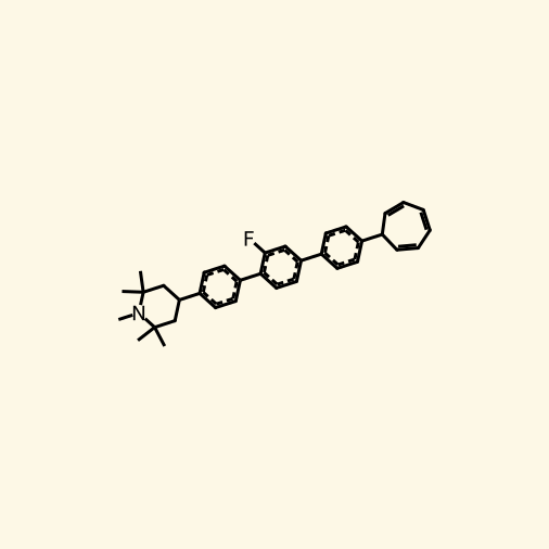 CN1C(C)(C)CC(c2ccc(-c3ccc(-c4ccc(C5C=CC=CC=C5)cc4)cc3F)cc2)CC1(C)C